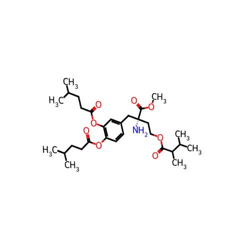 COC(=O)[C@@](N)(CCOC(=O)C(C)C(C)C)Cc1ccc(OC(=O)CCC(C)C)c(OC(=O)CCC(C)C)c1